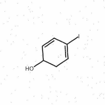 OC1C=CC(I)=CC1